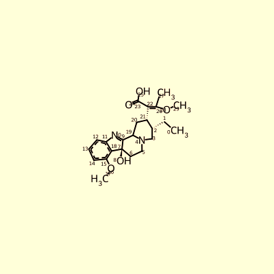 CC[C@@H]1CN2CC[C@@]3(O)C(=Nc4cccc(OC)c43)C2C[C@@H]1C(C(=O)O)=C(C)OC